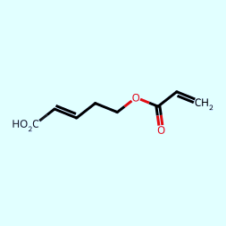 C=CC(=O)OCCC=CC(=O)O